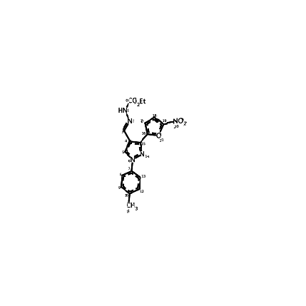 CCOC(=O)NN=Cc1cn(-c2ccc(C)cc2)nc1-c1ccc([N+](=O)[O-])o1